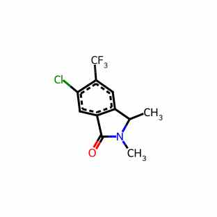 CC1c2cc(C(F)(F)F)c(Cl)cc2C(=O)N1C